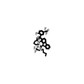 CCCCN(CC(F)(F)F)C(=O)C1c2ccccc2-c2ccc(C(=O)c3cc(C(F)(F)F)ccc3F)c(N3CCCCC3N)c21